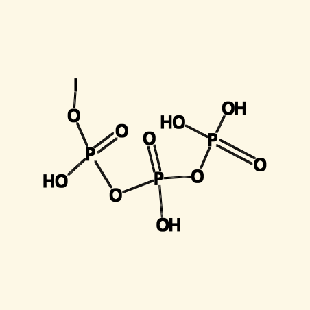 O=P(O)(O)OP(=O)(O)OP(=O)(O)OI